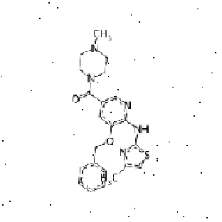 Cc1csc(Nc2ncc(C(=O)N3CCN(C)CC3)cc2OCc2ccccc2)n1